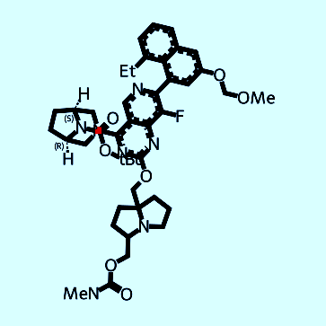 CCc1cccc2cc(OCOC)cc(-c3ncc4c(N5C[C@H]6CC[C@@H](C5)N6C(=O)OC(C)(C)C)nc(OCC56CCCN5C(COC(=O)NC)CC6)nc4c3F)c12